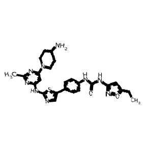 CCc1cc(NC(=O)Nc2ccc(-c3cnc(Nc4cc(N5CCC(N)CC5)nc(C)n4)s3)cc2)no1